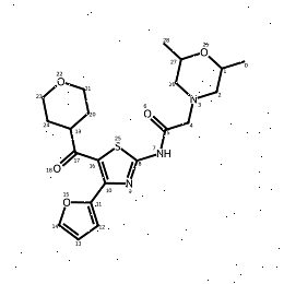 CC1CN(CC(=O)Nc2nc(-c3ccco3)c(C(=O)C3CCOCC3)s2)CC(C)O1